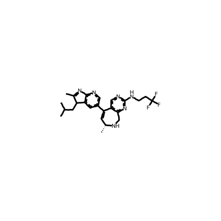 CC1=Nc2ncc(C3=C[C@@H](C)NCc4nc(NCCC(F)(F)F)ncc43)cc2C1CC(C)C